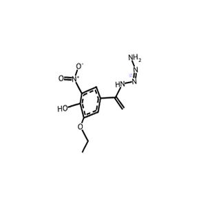 C=C(N/N=N\N)c1cc(OCC)c(O)c([N+](=O)[O-])c1